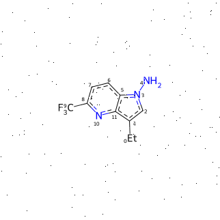 CCc1cn(N)c2ccc(C(F)(F)F)nc12